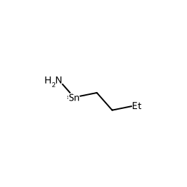 CCC[CH2][Sn][NH2]